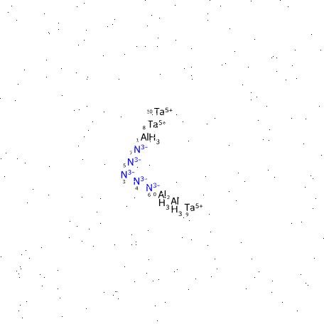 [AlH3].[AlH3].[AlH3].[N-3].[N-3].[N-3].[N-3].[N-3].[Ta+5].[Ta+5].[Ta+5]